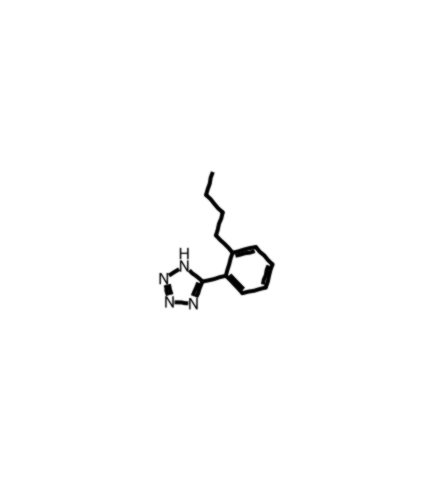 CCCCc1ccccc1-c1nnn[nH]1